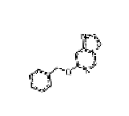 c1ccc(COc2cc3nccn3cn2)cc1